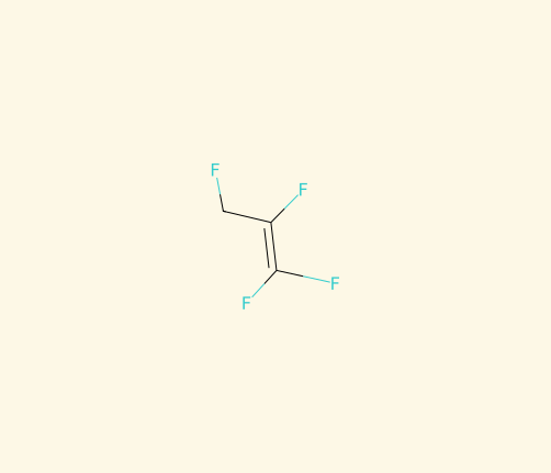 FCC(F)=C(F)F